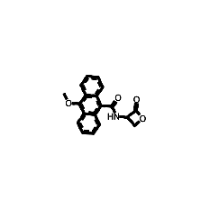 COc1c2ccccc2c(C(=O)NC2COC2=O)c2ccccc12